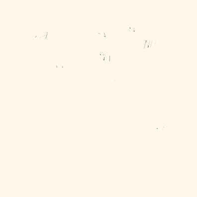 O=C(c1ccc(Oc2ccccc2)cc1)c1c[nH]c2ncnc(N[C@H]3CC[C@@H](CO)OC3)c12